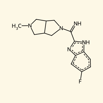 CN1CC2CN(C(=N)c3nc4cc(F)ccc4[nH]3)CC2C1